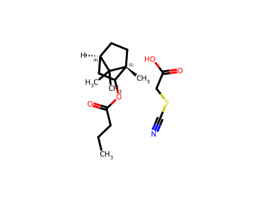 CCCC(=O)OC1C[C@H]2CC[C@@]1(C)C2(C)C.N#CSCC(=O)O